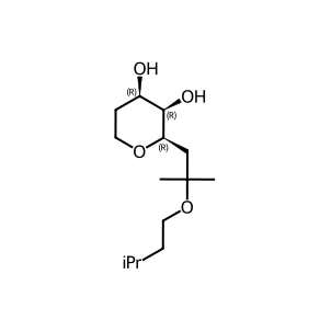 CC(C)CCOC(C)(C)C[C@H]1OCC[C@@H](O)[C@H]1O